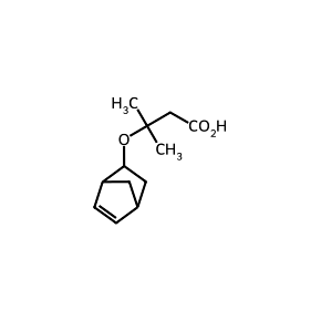 CC(C)(CC(=O)O)OC1CC2C=CC1C2